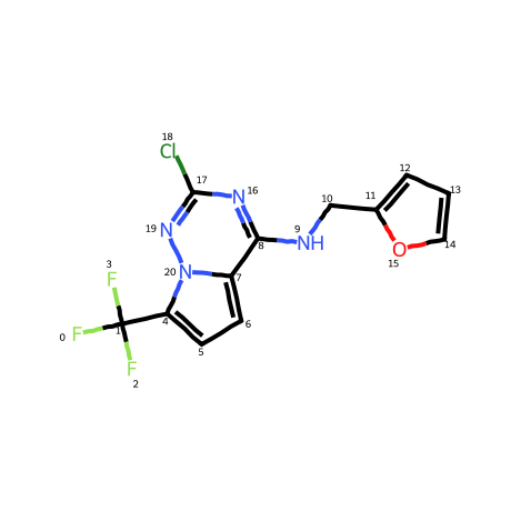 FC(F)(F)c1ccc2c(NCc3ccco3)nc(Cl)nn12